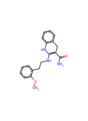 COc1ccccc1CCNC1=C(C(N)=O)Cc2[c]cccc2N1